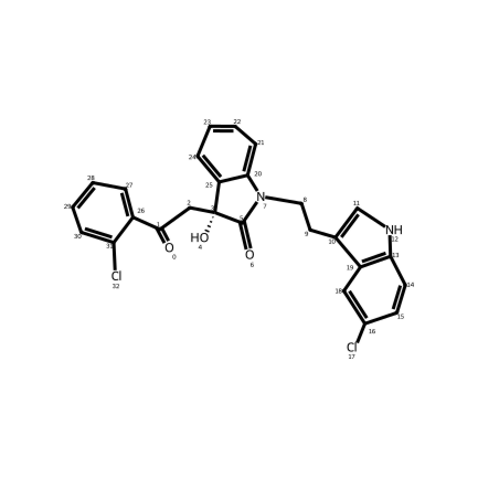 O=C(C[C@]1(O)C(=O)N(CCc2c[nH]c3ccc(Cl)cc23)c2ccccc21)c1ccccc1Cl